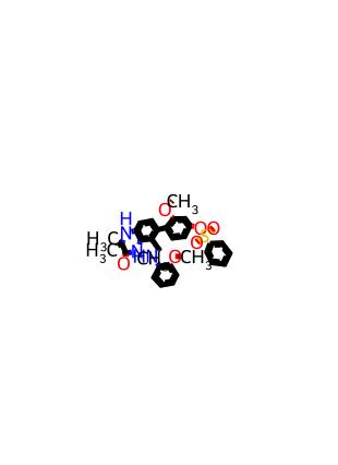 COc1ccccc1NCc1c(-c2ccc(OS(=O)(=O)c3ccccc3)cc2OC)ccc2c1N(C)C(=O)C(C)(C)N2